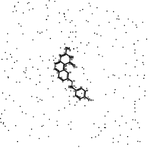 Nc1nc2ccc3ccc(CNc4ccc(F)cc4)cc3c2c(=O)[nH]1